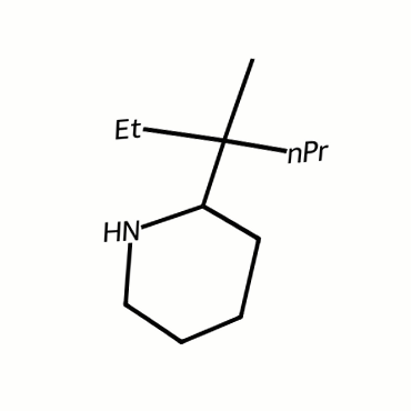 CCCC(C)(CC)C1CCCCN1